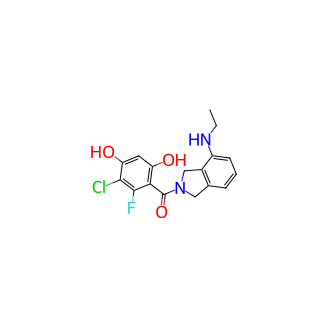 CCNc1cccc2c1CN(C(=O)c1c(O)cc(O)c(Cl)c1F)C2